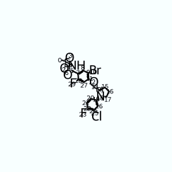 CS(=O)(=O)NC(=O)c1cc(Br)c(OC[C@H]2CCCN2c2ccc(F)c(Cl)c2)cc1F